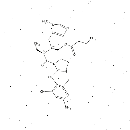 CCCC(=O)OC[C@H](Cc1cncn1C)[C@H](CC)C(=O)N1CCN=C1Nc1c(Cl)cc(N)cc1Cl